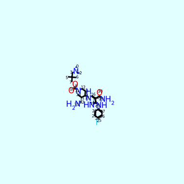 CN(C)CC(C)(C)COC(=O)N1CC[C@@H](N/C=C(\C(=N)Nc2ccc(F)cc2)C(N)=O)[C@H](CN)C1